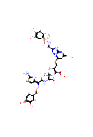 Cc1cc(SCC2=C(C(=O)O)N3C(=O)[C@@H](NC(=O)C(=NOCc4ccc(O)c(O)c4)c4csc(N)n4)[C@H]3SC2)n2nc(CNS(=O)(=O)c3ccc(O)c(O)c3)nc2n1